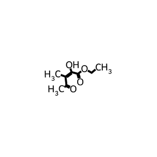 CCOC(=O)C(O)=C(C)C(C)=O